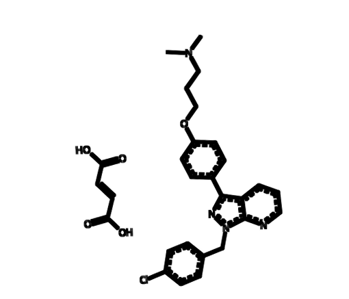 CN(C)CCCOc1ccc(-c2nn(Cc3ccc(Cl)cc3)c3ncccc23)cc1.O=C(O)C=CC(=O)O